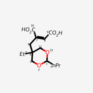 CCCC1OCC(CC)(CC(=CC(=O)O)C(=O)O)CO1